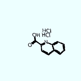 Cl.Cl.O=C(O)c1ccc2ccccc2n1